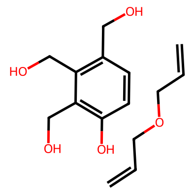 C=CCOCC=C.OCc1ccc(O)c(CO)c1CO